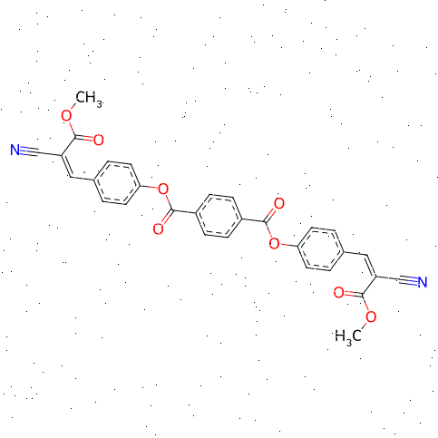 COC(=O)C(C#N)=Cc1ccc(OC(=O)c2ccc(C(=O)Oc3ccc(C=C(C#N)C(=O)OC)cc3)cc2)cc1